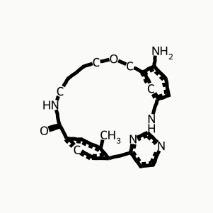 Cc1cc2ccc1-c1ccnc(n1)Nc1ccc(N)c(c1)COCCCCNC2=O